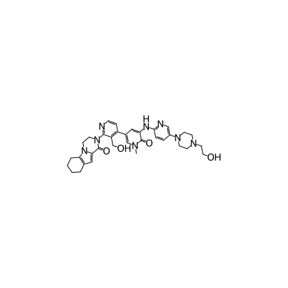 Cn1cc(-c2ccnc(N3CCn4c(cc5c4CCCC5)C3=O)c2CO)cc(Nc2ccc(N3CCN(CCO)CC3)cn2)c1=O